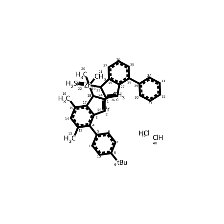 CC1=Cc2c(-c3ccc(C(C)(C)C)cc3)c(C)cc(C)c2[CH]1[Zr]([CH3])([CH3])(=[SiH2])[CH]1C(C(C)C)=Cc2c(-c3ccccc3)cccc21.Cl.Cl